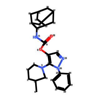 CC1CCCN(c2c(OC(=O)NC3C4CC5CC(C4)CC3C5)cnn2-c2ccccc2)C1